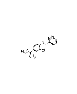 CC(C)c1ccc(OCc2cccnn2)c(Cl)c1